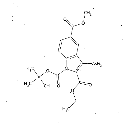 CCOC(=O)c1c([AsH2])c2cc(C(=O)OC)ccc2n1C(=O)OC(C)(C)C